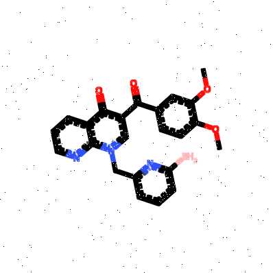 Bc1cccc(Cn2cc(C(=O)c3ccc(OC)c(OC)c3)c(=O)c3cccnc32)n1